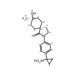 O=C1N(c2ccc(C3(S(=O)(=O)O)CC3)cc2)CC[C@]12CC[C@@](O)(C(F)(F)F)CC2